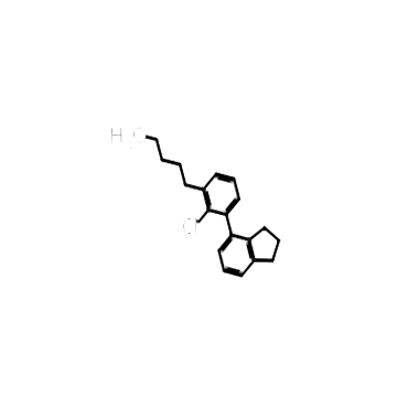 CCCCCc1cccc(-c2cccc3c2CCC3)c1Cl